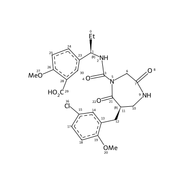 CC[C@@H](NC(=O)N1CC(=O)NC[C@@H](Cc2cc(Cl)ccc2OC)C1=O)c1ccc(OC)c(C(=O)O)c1